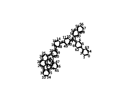 c1ccc(-c2ccc(N(c3ccc(-c4cccc(-c5ccc6c(c5)c5ccc7ccc8c9ccccc9oc8c7c5n6-c5ccccc5)c4)cc3)c3ccc4ccccc4c3)cc2)cc1